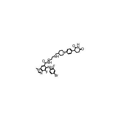 Cn1cnc2c(F)c(Nc3ccc(Br)cc3F)c(C(=O)NOCCNCC3CCN(c4ccc(C5CCC(=O)NC5=O)cc4)CC3)cc21